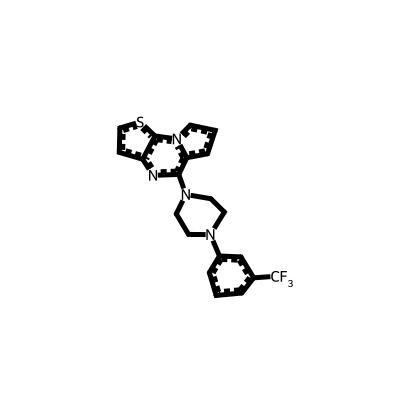 FC(F)(F)c1cccc(N2CCN(c3nc4ccsc4n4cccc34)CC2)c1